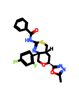 Cc1nnc([C@H]2C[C@H]3CSC(NC(=O)c4ccccc4)=N[C@@]3(c3ccc(F)cc3F)CO2)o1